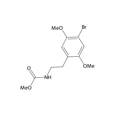 COC(=O)NCCc1cc(OC)c(Br)cc1OC